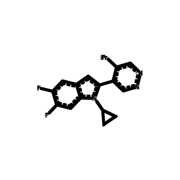 CC(C)c1cnncc1-c1cc2cc(F)c(F)cc2n1C1CC1